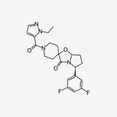 CCn1nccc1C(=O)N1CCC2(CC1)OC1CC[C@@H](c3cc(F)cc(F)c3)N1C2=O